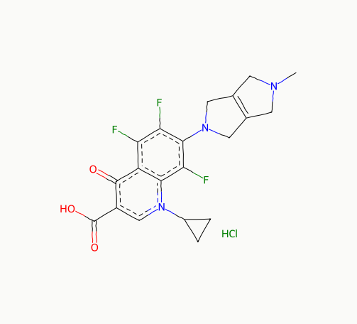 CN1CC2=C(C1)CN(c1c(F)c(F)c3c(=O)c(C(=O)O)cn(C4CC4)c3c1F)C2.Cl